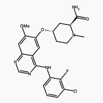 COc1cc2ncnc(Nc3cccc(Cl)c3F)c2cc1O[C@H]1CCN(C)[C@H](C(N)=O)C1